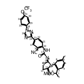 COC(C)c1ccc(C)cc1N1C(=O)CS/C1=N\C(=O)Nc1ccc(-c2ncn(-c3ccc(OC(F)(F)F)cc3)n2)cc1C#N